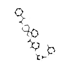 Cc1ccnc(Nc2ncc(Sc3ccnc(C(=O)NCC4(c5ccccc5)CCN(C(=O)C(O)c5ccccc5)CC4)c3F)s2)c1